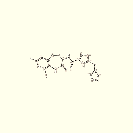 Cc1cc(F)c2c(c1)OCC(NC(=O)c1nnc(Cc3cccs3)[nH]1)C(=O)N2